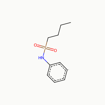 CCCCS(=O)(=O)Nc1c[c]ccc1